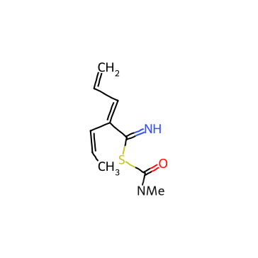 C=C/C=C(\C=C/C)C(=N)SC(=O)NC